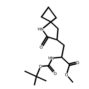 COC(=O)C(CC1CC2(CCC2)NC1=O)NC(=O)OC(C)(C)C